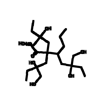 CCCC(CC(O)(CC)CO)C(CC(O)(CC)CO)(CC(O)(CC)CO)C(=O)O